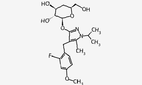 COc1ccc(Cc2c(O[C@@H]3O[C@H](CO)C[C@H](O)[C@H]3O)nn(C(C)C)c2C)c(F)c1